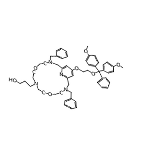 COc1ccc(C(OCCOc2cc3nc(c2)CN(Cc2ccccc2)CCOCCN(CCCO)CCOCCN(Cc2ccccc2)C3)(c2ccccc2)c2ccc(OC)cc2)cc1